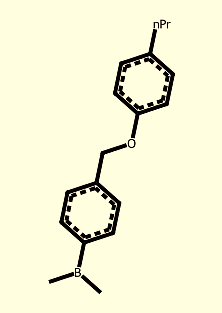 CCCc1ccc(OCc2ccc(B(C)C)cc2)cc1